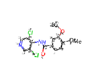 COc1ccc(C(=O)Nc2c(Cl)cncc2Cl)cc1OC(C)(C)C